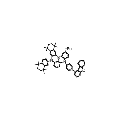 CC(C)(C)c1ccc2c(c1)B1c3cc4c(cc3N(c3ccc5c(c3)C(C)(C)CCC5(C)C)c3cccc(c31)N2c1ccc(-c2cccc3oc5ccccc5c23)cc1)C(C)(C)CCC4(C)C